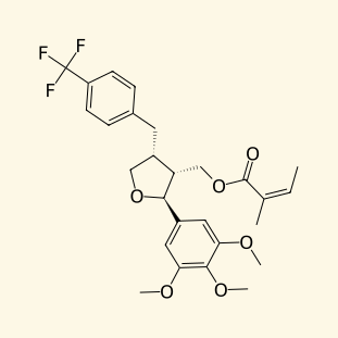 C/C=C(/C)C(=O)OC[C@H]1[C@@H](Cc2ccc(C(F)(F)F)cc2)CO[C@@H]1c1cc(OC)c(OC)c(OC)c1